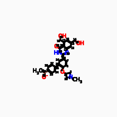 CN1CC(Oc2ccc(-c3nc4cc(CO)cc(CO)c4c(=O)[nH]3)cc2-c2ccc([S+](C)[O-])cc2)C1